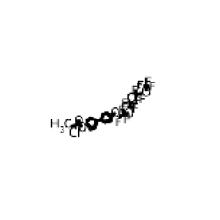 C[C@H](Cl)C(=O)Oc1ccc(-c2ccc(OC(F)C(F)(F)OC(F)(F)C(F)(F)OC(F)(F)C(F)(F)OC(F)(F)F)cc2)cc1